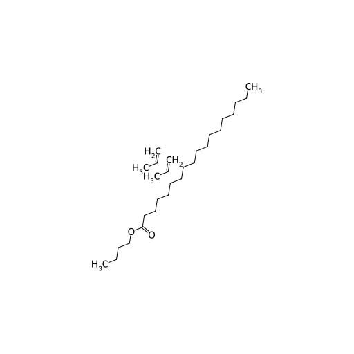 C=CC.C=CC.CCCCCCCCCCCCCCCCCC(=O)OCCCC